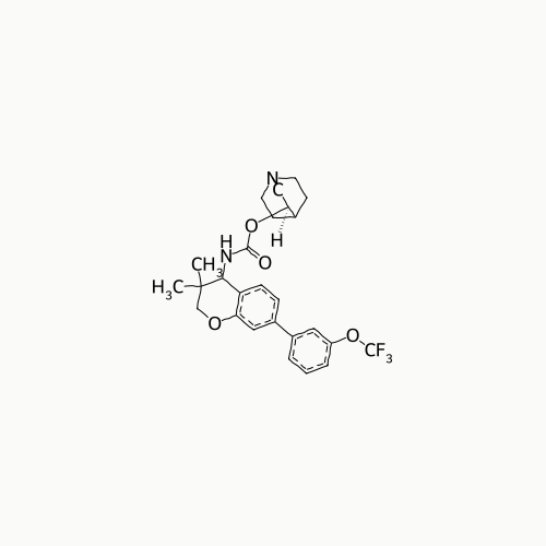 CC1(C)COc2cc(-c3cccc(OC(F)(F)F)c3)ccc2C1NC(=O)O[C@H]1CN2CCC1CC2